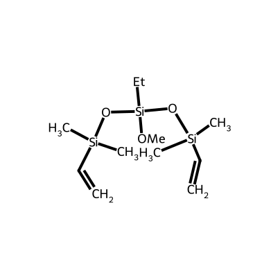 C=C[Si](C)(C)O[Si](CC)(OC)O[Si](C)(C)C=C